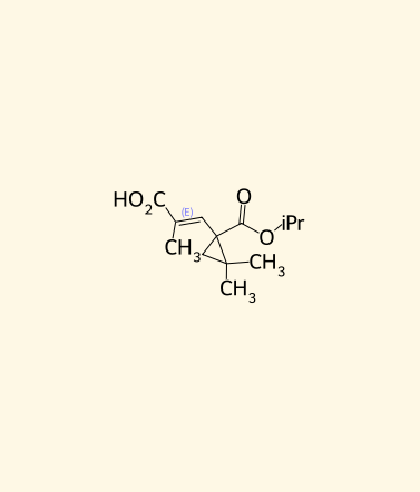 C/C(=C\C1(C(=O)OC(C)C)CC1(C)C)C(=O)O